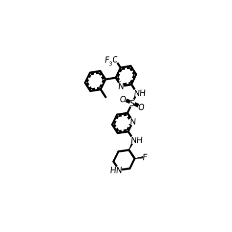 Cc1ccccc1-c1nc(NS(=O)(=O)c2cccc(N[C@@H]3CCNC[C@@H]3F)n2)ccc1C(F)(F)F